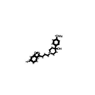 COc1ccc(C2(O)CCN(CCCc3noc4cc(F)ccc34)CC2)cc1